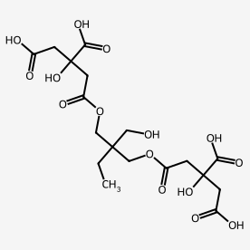 CCC(CO)(COC(=O)CC(O)(CC(=O)O)C(=O)O)COC(=O)CC(O)(CC(=O)O)C(=O)O